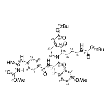 COC(=O)NC(=N)Nc1ccc(C(=O)N[C@@H](Cc2ccc(OC)cc2)C(=O)N2CCN(CC(=O)OC(C)(C)C)C(=O)[C@@H]2CCCNC(=O)OC(C)(C)C)cc1